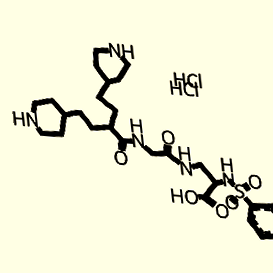 COc1ccc(S(=O)(=O)NC(CNC(=O)CNC(=O)C(CCC2CCNCC2)CCC2CCNCC2)C(=O)O)cc1.Cl.Cl